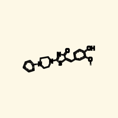 COc1cc(C=C2SC(N3CCN(c4ccccc4)CC3)=NC2=O)ccc1O